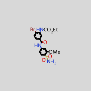 CCOC(=O)Nc1cc(C(=O)Nc2ccc(S(N)(=O)=O)c(OC)c2)ccc1Br